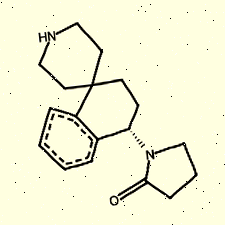 O=C1CCCN1[C@H]1CCC2(CCNCC2)c2ccccc21